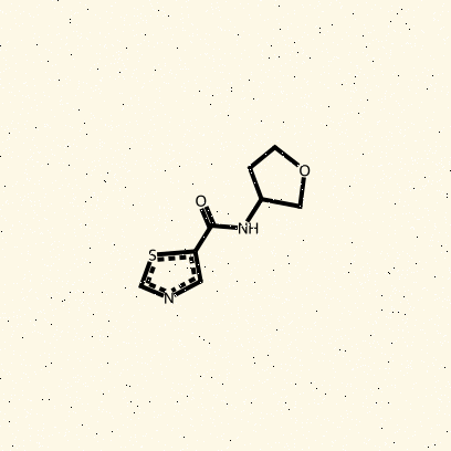 O=C(NC1CCOC1)c1cncs1